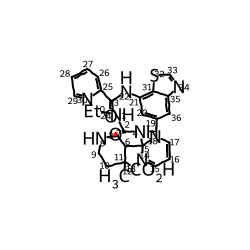 CCNC(=O)NC1(C2CNCCC2(C)C(=O)O)N=CC=CN1c1cc(NC(=O)c2ccccn2)c2scnc2c1